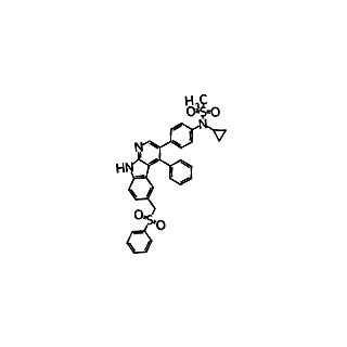 CS(=O)(=O)N(c1ccc(-c2cnc3[nH]c4ccc(CS(=O)(=O)c5ccccc5)cc4c3c2-c2ccccc2)cc1)C1CC1